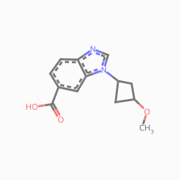 COC1CC(n2cnc3ccc(C(=O)O)cc32)C1